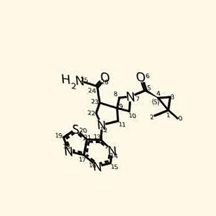 CC1(C)C[C@@H]1C(=O)N1CC2(C1)CN(c1ncnc3ncsc13)CC2C(N)=O